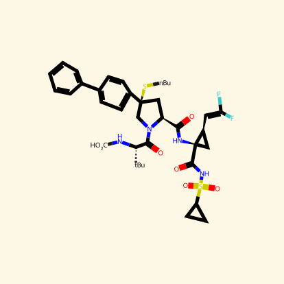 CCCCS[C@@]1(c2ccc(-c3ccccc3)cc2)C[C@@H](C(=O)N[C@]2(C(=O)NS(=O)(=O)C3CC3)C[C@@H]2C=C(F)F)N(C(=O)[C@@H](NC(=O)O)C(C)(C)C)C1